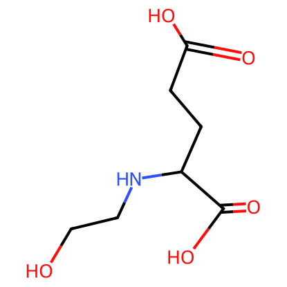 O=C(O)CCC(NCCO)C(=O)O